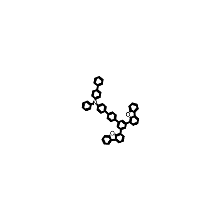 c1ccc(-c2ccc(N(c3ccccc3)c3ccc(-c4ccc(-c5cc(-c6cccc7c6oc6ccccc67)cc(-c6cccc7c6oc6ccccc67)c5)cc4)cc3)cc2)cc1